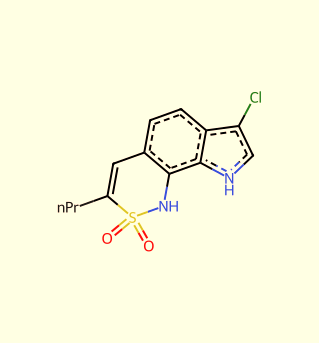 CCCC1=Cc2ccc3c(Cl)c[nH]c3c2NS1(=O)=O